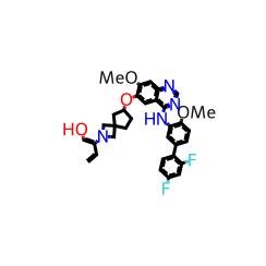 C=C/C(=C/O)N1CC2(CCC(Oc3cc4c(Nc5cc(-c6ccc(F)cc6F)ccc5OC)ncnc4cc3OC)C2)C1